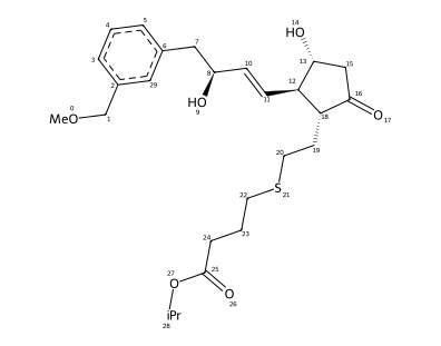 COCc1cccc(C[C@H](O)C=C[C@H]2[C@H](O)CC(=O)[C@@H]2CCSCCCC(=O)OC(C)C)c1